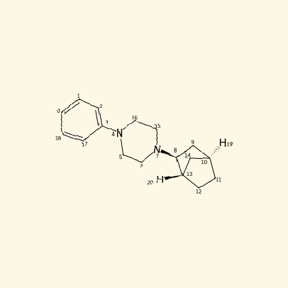 [c]1ccc(N2CCN([C@H]3C[C@H]4CC[C@H]3C4)CC2)cc1